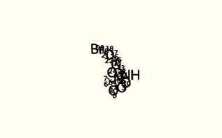 COC(=O)C(C(C)C)N1C(=O)NC(COCc2ccc(Br)cc2)C1=O